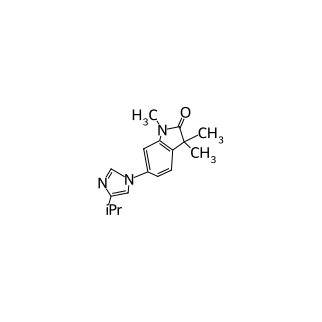 CC(C)c1cn(-c2ccc3c(c2)N(C)C(=O)C3(C)C)cn1